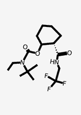 CCN(C(=O)OC1CCCC[C@@H]1C(=O)NCC(F)(F)F)C(C)(C)C